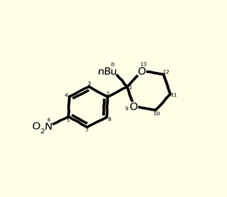 CCCCC1(c2ccc([N+](=O)[O-])cc2)OCCCO1